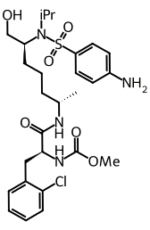 COC(=O)N[C@@H](Cc1ccccc1Cl)C(=O)N[C@@H](C)CCC[C@@H](CO)N(C(C)C)S(=O)(=O)c1ccc(N)cc1